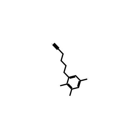 [C]#CCCCCc1cc(C)cc(C)c1C